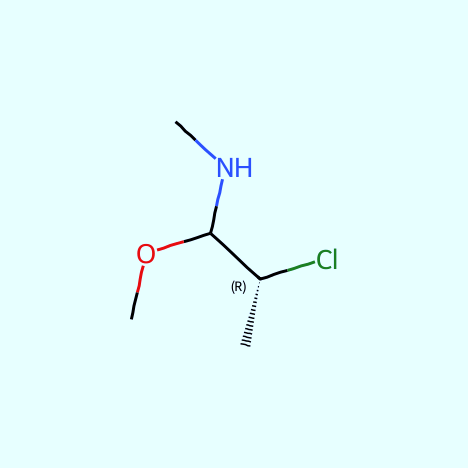 CNC(OC)[C@@H](C)Cl